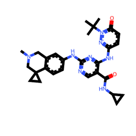 CN1Cc2cc(Nc3ncc(C(=O)NC4CC4)c(Nc4ccc(=O)n(C(C)(C)C)n4)n3)ccc2C2(CC2)C1